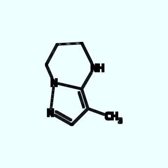 Cc1cnn2c1NCCC2